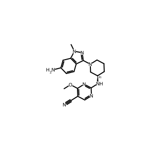 COc1nc(N[C@@H]2CCCN(c3nn(C)c4cc(N)ccc34)C2)ncc1C#N